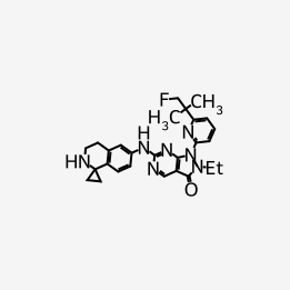 CCn1c(=O)c2cnc(Nc3ccc4c(c3)CCNC43CC3)nc2n1-c1cccc(C(C)(C)CF)n1